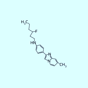 CCCC(F)CCNc1ccc(-c2cn3ccc(C)cc3n2)cc1